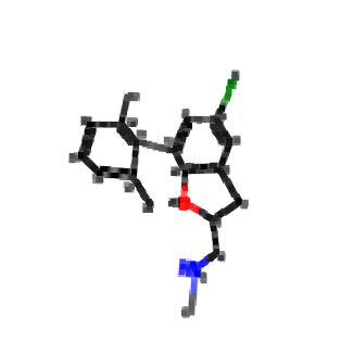 CNCC1Cc2cc(F)cc(-c3c(C)cccc3C)c2O1